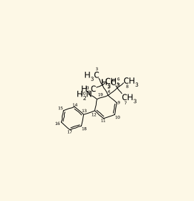 CC(C)(C)C1(C(C)(C)C)C=CC=C(c2ccccc2)C1N